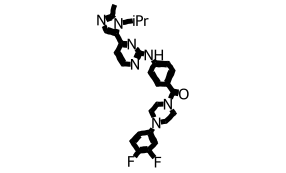 Cc1ncc(-c2ccnc(Nc3ccc(C(=O)N4CCN(c5ccc(F)c(F)c5)CC4)cc3)n2)n1C(C)C